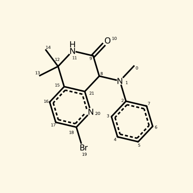 CN(c1ccccc1)C1C(=O)NC(C)(C)c2ccc(Br)nc21